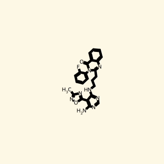 Cc1noc(-c2c(N)ncnc2NCCCc2nc3ccccc3c(=O)n2-c2ccccc2F)n1